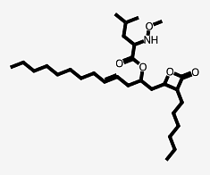 CCCCCCCC/C=C/CC(CC1OC(=O)C1CCCCCC)OC(=O)C(CC(C)C)NOC